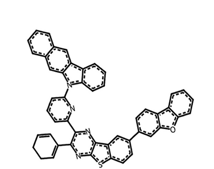 C1=CC(c2nc3sc4ccc(-c5ccc6c(c5)oc5ccccc56)cc4c3nc2-c2cccc(-n3c4ccccc4c4cc5ccccc5cc43)n2)=CCC1